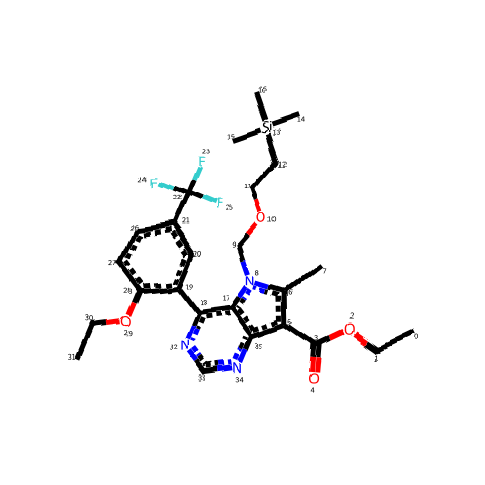 CCOC(=O)c1c(C)n(COCC[Si](C)(C)C)c2c(-c3cc(C(F)(F)F)ccc3OCC)ncnc12